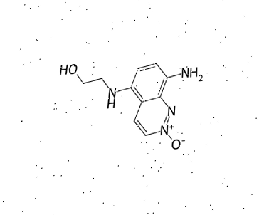 Nc1ccc(NCCO)c2cc[n+]([O-])nc12